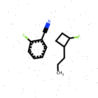 CCCC1CCC1F.N#Cc1ccccc1F